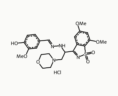 COc1cc(OC)c2c(c1)C(C(CN1CCOCC1)N/N=C/c1ccc(O)c(OC)c1)=NS2(=O)=O.Cl